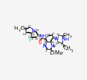 COc1cnc2c(C(=O)Nc3cc(F)c4cc(C)cn4c3)ccc(N3C[C@@H](C)N[C@@H](C)C3)c2n1